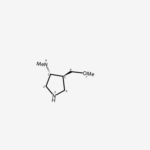 CN[C@H]1CNC[C@@H]1COC